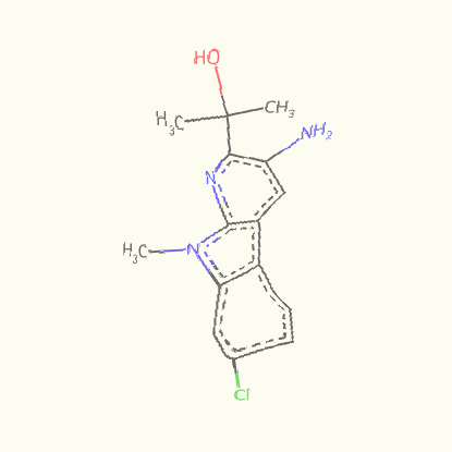 Cn1c2cc(Cl)ccc2c2cc(N)c(C(C)(C)O)nc21